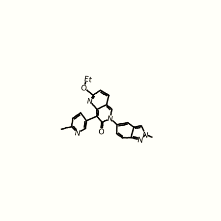 CCOc1ccc2cn(-c3ccc4nn(C)cc4c3)c(=O)c(-c3ccc(C)nc3)c2n1